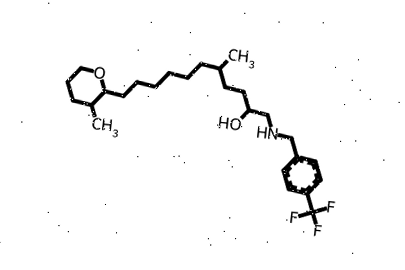 CC(CCCCCCC1OCCCC1C)CCC(O)CNCc1ccc(C(F)(F)F)cc1